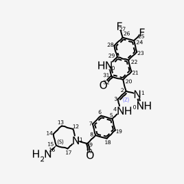 N=N/C(=C\Nc1ccc(C(=O)N2CCC[C@H](N)C2)cc1)c1cc2cc(F)c(F)cc2[nH]c1=O